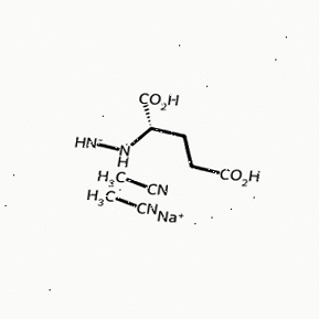 CC#N.CC#N.[NH-]N[C@@H](CCC(=O)O)C(=O)O.[Na+]